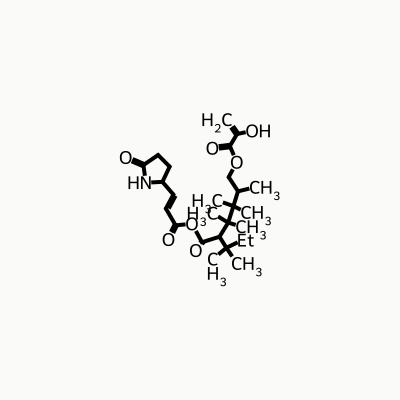 C=C(O)C(=O)OCC(C)C(C)(C)C(C)(C)C(C(=O)OC(=O)/C=C/C1CCC(=O)N1)C(C)(C)CC